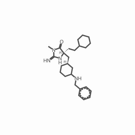 CN1C(=N)N[C@](CCC2CCCCC2)(C[C@@H]2CCCC(NCc3ccccc3)C2)C1=O